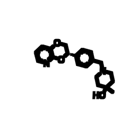 CC1(O)CCN(Cc2ccc([C@H]3COc4cccnc4O3)cc2)CC1